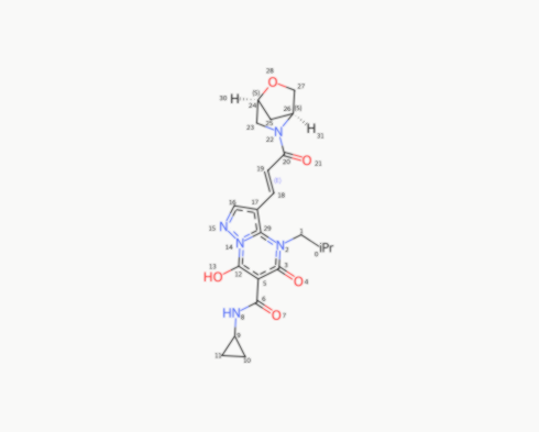 CC(C)Cn1c(=O)c(C(=O)NC2CC2)c(O)n2ncc(/C=C/C(=O)N3C[C@@H]4C[C@H]3CO4)c12